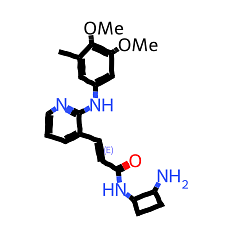 COc1cc(Nc2ncccc2/C=C/C(=O)NC2CCC2N)cc(C)c1OC